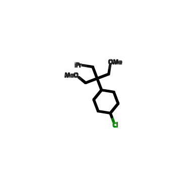 COCC(COC)(CC(C)C)C1CCC(Cl)CC1